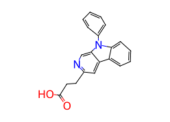 O=C(O)CCc1cc2c3ccccc3n(-c3ccccc3)c2cn1